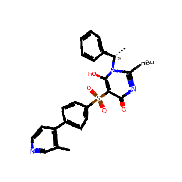 CCCCc1nc(=O)c(S(=O)(=O)c2ccc(-c3ccncc3C)cc2)c(O)n1[C@@H](C)c1ccccc1